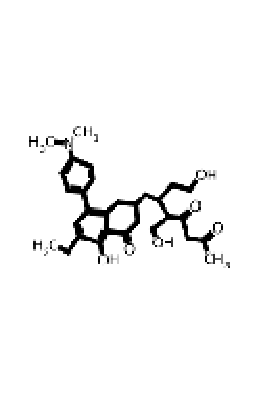 CCc1cc(-c2ccc(N(C)C)cc2)c2c(c1O)C(=O)CC(CC(CCO)C(CO)C(=O)CC(C)=O)C2